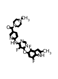 Cc1cc2c(F)c(Oc3ncnc(Nc4ccc(C(=O)N5CCN(C)CC5)cn4)c3F)cc(F)c2[nH]1